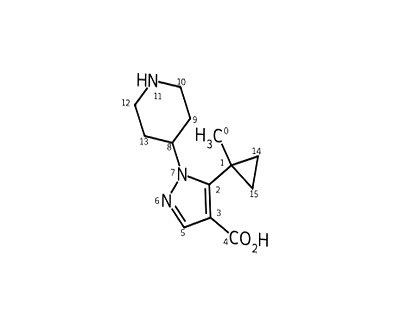 CC1(c2c(C(=O)O)cnn2C2CCNCC2)CC1